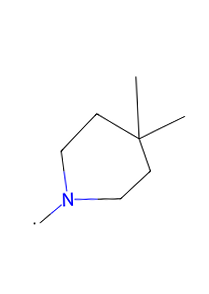 [CH2]N1CCC(C)(C)CC1